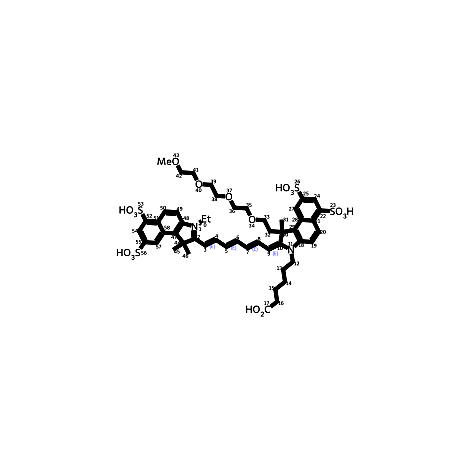 CC[N+]1=C(/C=C/C=C/C=C/C=C2/N(CCCCCC(=O)O)c3ccc4c(S(=O)(=O)O)cc(S(=O)(=O)O)cc4c3C2(C)CCOCCOCCOCCOC)C(C)(C)c2c1ccc1c(S(=O)(=O)O)cc(S(=O)(=O)O)cc21